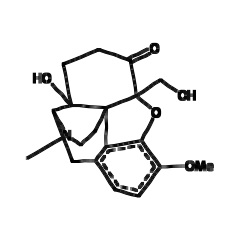 COc1ccc2c3c1OC1(CO)C(=O)CCC4(O)C(C2)N(C)CCC314